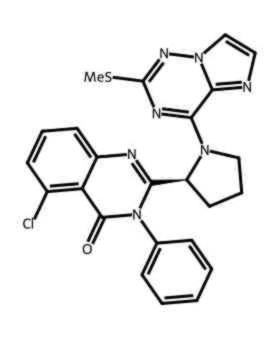 CSc1nc(N2CCC[C@H]2c2nc3cccc(Cl)c3c(=O)n2-c2ccccc2)c2nccn2n1